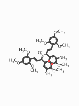 COc1cc(OC)c(C=CC(c2ccc(OC)c(N)c2)[S+]([O-])C(C=Cc2c(OC)cc(OC)cc2OC)c2ccc(OC)c(N)c2)c(OC)c1